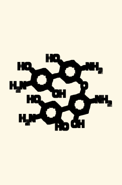 Nc1cc(O)c(-c2cc(Oc3cc(-c4cc(O)c(N)cc4O)c(O)cc3N)c(N)cc2O)cc1O